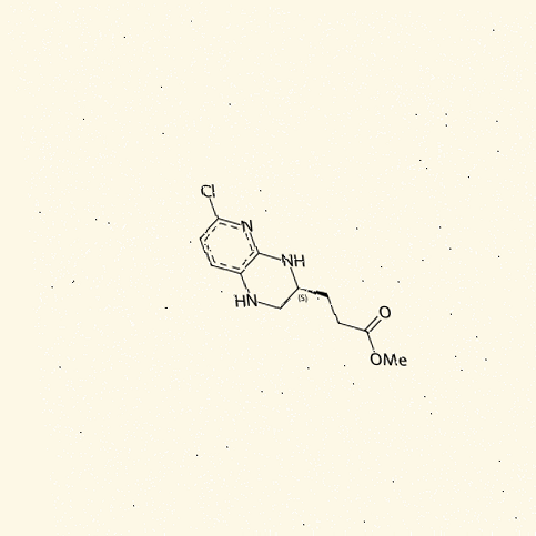 COC(=O)CC[C@H]1CNc2ccc(Cl)nc2N1